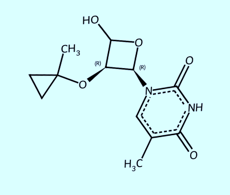 Cc1cn([C@@H]2OC(O)[C@@H]2OC2(C)CC2)c(=O)[nH]c1=O